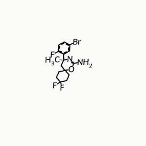 C[C@@]1(c2cc(Br)ccc2F)CC2(CCC(F)(F)CC2)OC(N)=N1